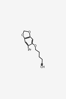 C#CCCCCOc1cc2c(cc1C(C)C)OCO2